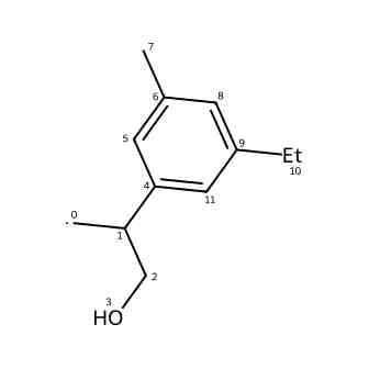 [CH2]C(CO)c1cc(C)cc(CC)c1